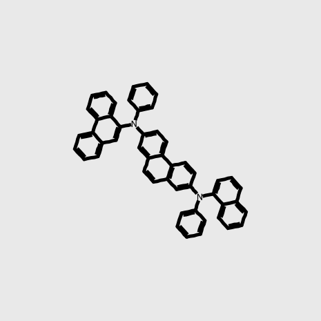 c1ccc(N(c2ccc3c(ccc4cc(N(c5ccccc5)c5cc6ccccc6c6ccccc56)ccc43)c2)c2cccc3ccccc23)cc1